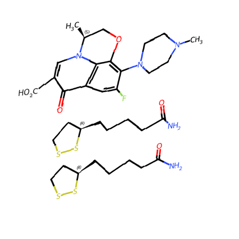 C[C@H]1COc2c(N3CCN(C)CC3)c(F)cc3c(=O)c(C(=O)O)cn1c23.NC(=O)CCCC[C@@H]1CCSS1.NC(=O)CCCC[C@@H]1CCSS1